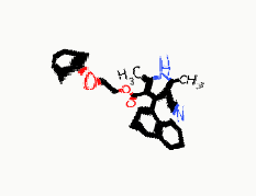 CC1=C(C#N)C(c2cccc3c2CCCC3)C(C(=O)OCCOc2ccccc2)=C(C)N1